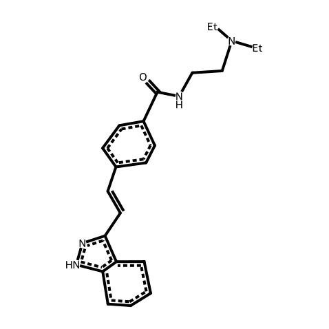 CCN(CC)CCNC(=O)c1ccc(/C=C/c2n[nH]c3ccccc23)cc1